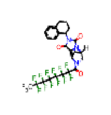 O=C1C2=C3C[C@@H](C=[N+]3C(=O)C(F)(F)C(F)(F)C(F)(F)C(F)(F)C(F)(F)C(F)(F)C(F)(F)F)N2C(=O)N1C1CCCc2ccccc21